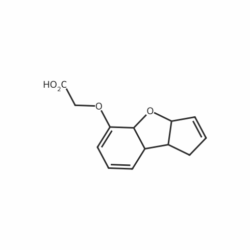 O=C(O)COC1=CC=CC2C1OC1C=CCC12